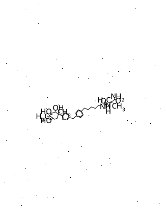 CC(C)(NC(=O)NCCCCCc1ccc(Cc2ccc([C@]3(C)CC[S@](C)(O)[C@@H](O)[C@@H]3O)cc2)cc1)C(N)=O